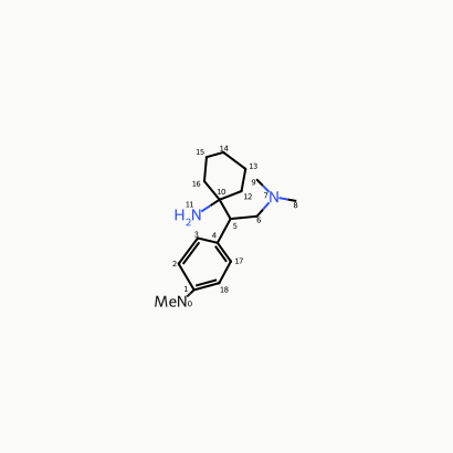 CNc1ccc(C(CN(C)C)C2(N)CCCCC2)cc1